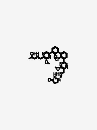 COc1nc(-c2cccc(-c3cccc(-c4cnc(CNC[C@@H](C)O)c(OC)n4)c3Cl)c2Cl)cnc1CNC[C@@H]1CCC(=O)N1